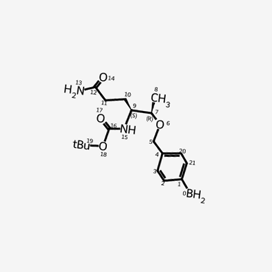 Bc1ccc(CO[C@H](C)[C@H](CCC(N)=O)NC(=O)OC(C)(C)C)cc1